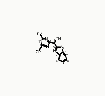 N#CC(c1nc(Cl)nc(Cl)n1)c1nc2ccccc2[nH]1